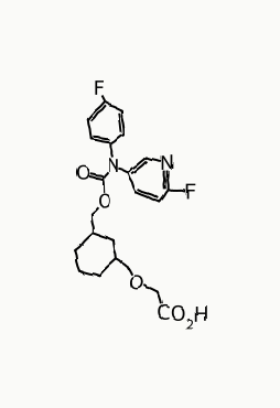 O=C(O)COCC1CCCC(COC(=O)N(c2ccc(F)cc2)c2ccc(F)nc2)C1